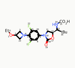 CCOC1CN(c2c(F)cc(N3C[C@@H](C(NC(=O)O)C(C)(C)C)OC3=O)cc2F)C1